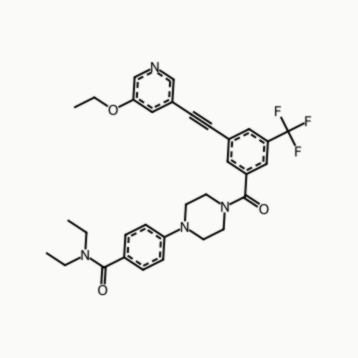 CCOc1cncc(C#Cc2cc(C(=O)N3CCN(c4ccc(C(=O)N(CC)CC)cc4)CC3)cc(C(F)(F)F)c2)c1